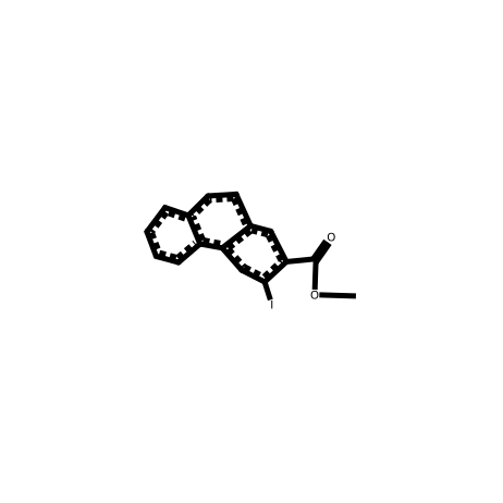 COC(=O)c1cc2ccc3ccccc3c2cc1I